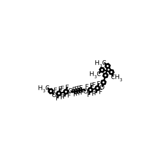 Cc1ccc(Oc2c(F)c(F)c(-c3c(F)c(F)c(OCC(F)(F)C(F)(F)C(F)(F)C(F)(F)COc4c(F)c(F)c(-c5c(F)c(F)c(Oc6ccc(-c7ccc(C8(c9cccc(C)c9)c9cc(C)ccc9-c9ccc(C)cc98)cc7)cc6)c(F)c5F)c(F)c4F)c(F)c3F)c(F)c2F)cc1